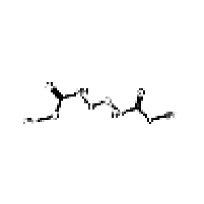 CC(C)OC(=O)NOONC(=O)OC(C)C